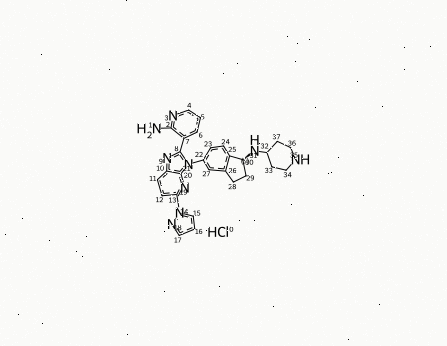 Cl.Nc1ncccc1-c1nc2ccc(-n3cccn3)nc2n1-c1ccc2c(c1)CC[C@@H]2NC1CCNCC1